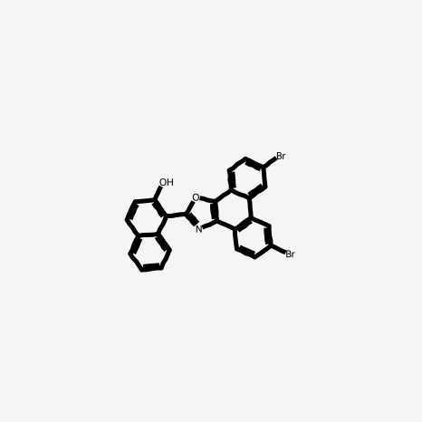 Oc1ccc2ccccc2c1-c1nc2c3ccc(Br)cc3c3cc(Br)ccc3c2o1